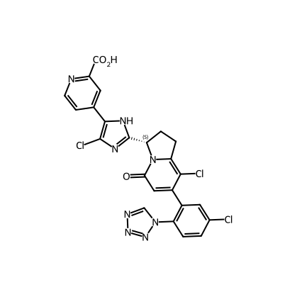 O=C(O)c1cc(-c2[nH]c([C@@H]3CCc4c(Cl)c(-c5cc(Cl)ccc5-n5cnnn5)cc(=O)n43)nc2Cl)ccn1